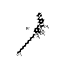 CCCCCCCCCCCCCCOc1ccc(CN(C(=O)CC)c2cccc(C[n+]3ccsc3)c2)cc1C(C)(C)C.[Br-]